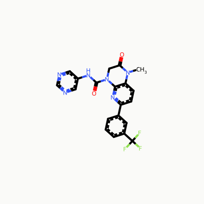 CN1C(=O)CN(C(=O)Nc2cncnc2)c2nc(-c3cccc(C(F)(F)F)c3)ccc21